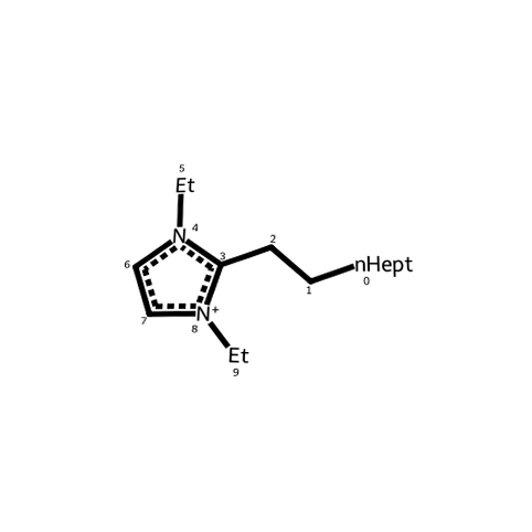 CCCCCCCCCc1n(CC)cc[n+]1CC